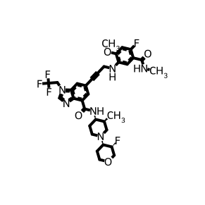 CNC(=O)c1cc(NCC#Cc2cc(C(=O)N[C@H]3CCN([C@H]4CCOC[C@H]4F)C[C@@H]3C)c3ncn(CC(F)(F)F)c3c2)c(OC)cc1F